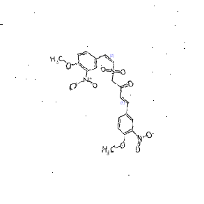 COc1ccc(/C=C\S(=O)(=O)CC(=O)/C=C/c2ccc(OC)c([N+](=O)[O-])c2)cc1[N+](=O)[O-]